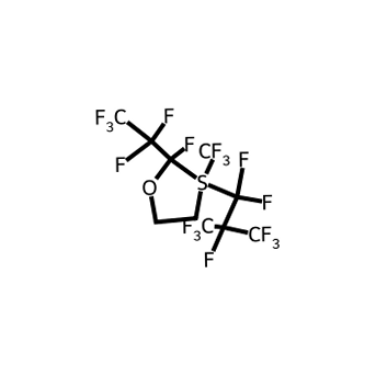 FC(F)(F)C(F)(F)C1(F)OCCS1(C(F)(F)F)C(F)(F)C(F)(C(F)(F)F)C(F)(F)F